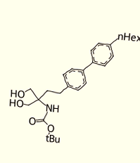 CCCCCCc1ccc(-c2ccc(CCC(CO)(CO)NC(=O)OC(C)(C)C)cc2)cc1